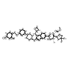 COC(=O)[C@@H]1CC(F)(F)CN1C(=O)[C@H](C)NC(=O)c1ccc2c(c1)nc(CN1CCC(c3cccc(OCc4ccc(Cl)cc4F)n3)CC1)n2C[C@@H]1CCO1